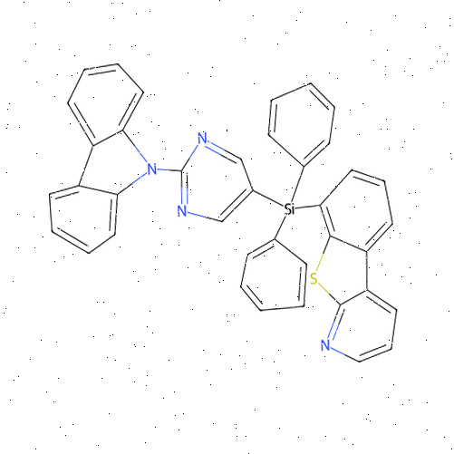 c1ccc([Si](c2ccccc2)(c2cnc(-n3c4ccccc4c4ccccc43)nc2)c2cccc3c2sc2ncccc23)cc1